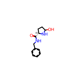 O=C(NCc1ccccc1)[C@@H]1CCC(O)N1